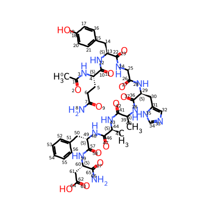 CC(=O)N[C@@H](CCC(N)=O)C(=O)N[C@@H](Cc1ccc(O)cc1)C(=O)NCC(=O)N[C@@H](Cc1cnc[nH]1)C(=O)N[C@@H](C)C(=O)N[C@@H](C)C(=O)N[C@@H](Cc1ccccc1)C(=O)N[C@@H](CC(=O)O)C(N)=O